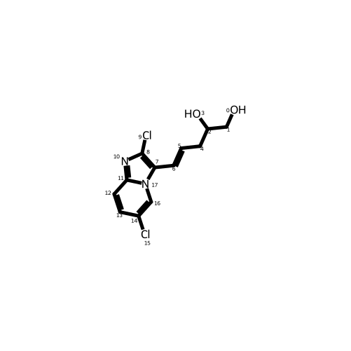 OCC(O)C/C=C/c1c(Cl)nc2ccc(Cl)cn12